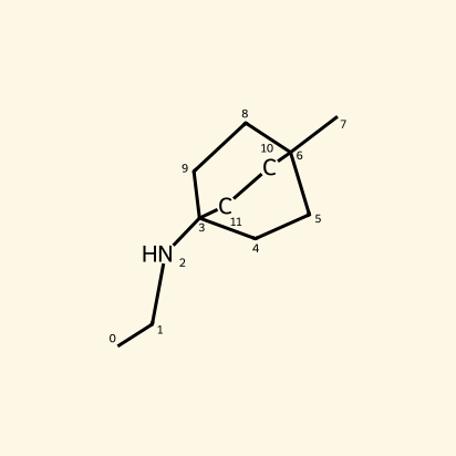 CCNC12CCC(C)(CC1)CC2